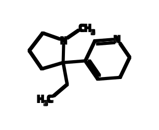 CCC1(C2=CCCN=C2)CCCN1C